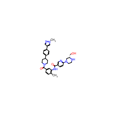 Cc1ccc(C(=O)N2CCC(c3ccc(-c4cnn(C)c4)cc3)CC2)cc1NC(=O)c1ccc(N2CCN[C@@H](CO)C2)nc1